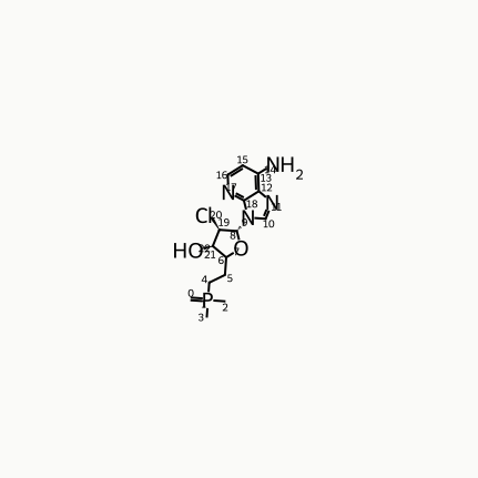 C=P(C)(C)CCC1O[C@@H](n2cnc3c(N)ccnc32)[C@H](Cl)[C@@H]1O